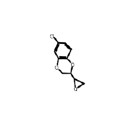 Clc1ccc2c(c1)OCC(C1CO1)O2